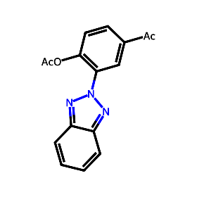 CC(=O)Oc1ccc(C(C)=O)cc1-n1nc2ccccc2n1